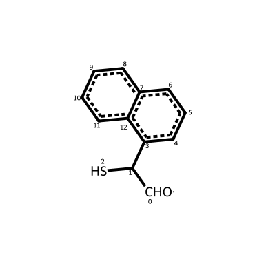 O=[C]C(S)c1cccc2ccccc12